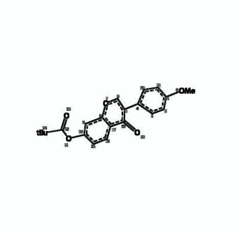 COc1ccc(-c2coc3cc(OC(=O)C(C)(C)C)ccc3c2=O)cc1